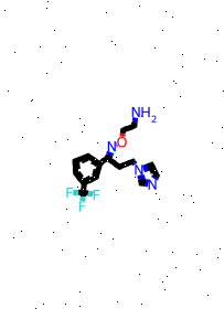 NCCON=C(CCn1ccnc1)c1cccc(C(F)(F)F)c1